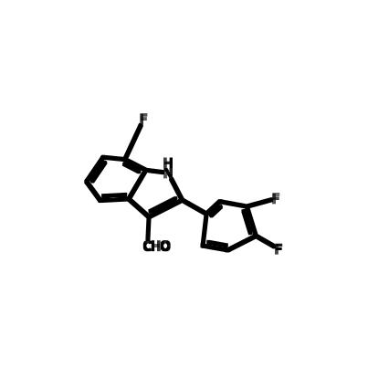 O=Cc1c(-c2ccc(F)c(F)c2)[nH]c2c(F)cccc12